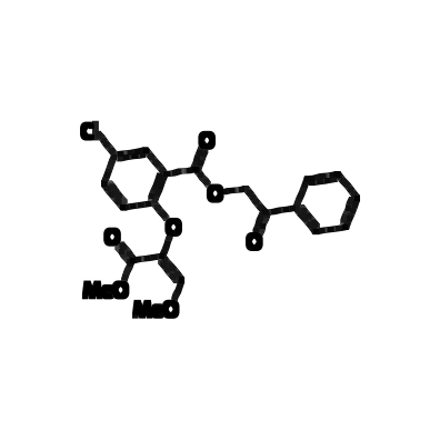 COC=C(Oc1ccc(Cl)cc1C(=O)OCC(=O)c1ccccc1)C(=O)OC